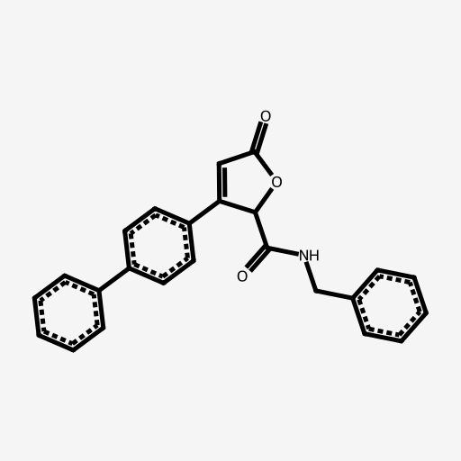 O=C1C=C(c2ccc(-c3ccccc3)cc2)C(C(=O)NCc2ccccc2)O1